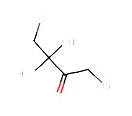 CC(C)(CCl)C(=O)CBr